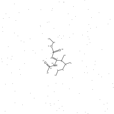 CCCC(C)C(C)C(=CC(=O)OCC)NC(C)=O